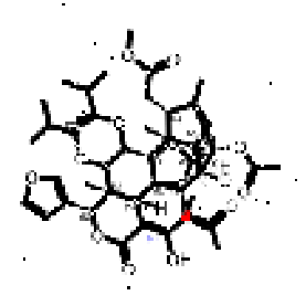 COC(=O)C[C@H]1C2(C)C[C@@]34O[C@]5(C)O[C@]6([C@@H]7/C(=C(/O)C(C)C)C(=O)O[C@@H](c8ccoc8)[C@]7(C)C(OC(=O)C(C)C)C(OC(=O)C(C)C)[C@]6(O5)[C@]13C)[C@H](OC(C)=O)[C@@]4(O)[C@H]2OC(C)=O